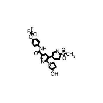 CS(=O)(=O)c1ccc(-c2cc(C(=O)Nc3ccc(OC(F)(F)Cl)cc3)cnc2N2CC[C@@H](O)C2)cn1